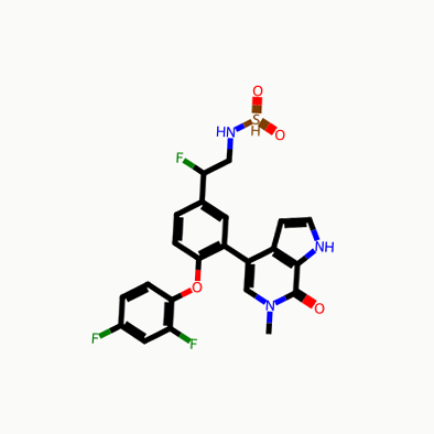 Cn1cc(-c2cc(C(F)CN[SH](=O)=O)ccc2Oc2ccc(F)cc2F)c2cc[nH]c2c1=O